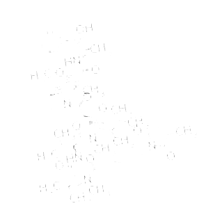 CC[C@H](C)[C@@H]([C@@H](CC(=O)N1CCC[C@H]1[C@H](OC)[C@@H](C)C(=O)N[C@H](C)[C@@H](O)c1ccccc1)OC)N(C)C(=O)[C@@H](NC(=O)[C@H](C(C)C)N(C)C(=O)CCCCCN1C(=O)CC(C)C1=O)C(C)C